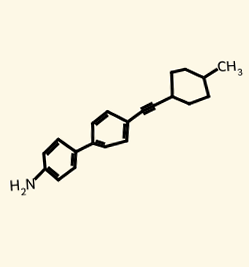 CC1CCC(C#Cc2ccc(-c3ccc(N)cc3)cc2)CC1